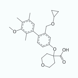 COc1c(C)c(C)cc(-c2ccc(OC3(C(=O)O)CCOCC3)cc2COC2CC2)c1C